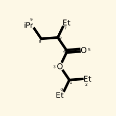 CCC(CC)OC(=O)C(CC)CC(C)C